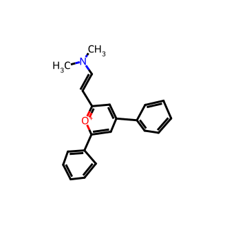 CN(C)C=Cc1cc(-c2ccccc2)cc(-c2ccccc2)[o+]1